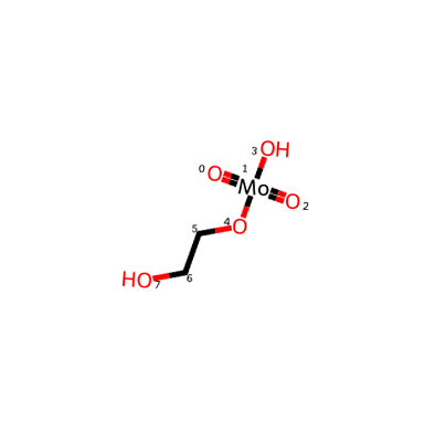 [O]=[Mo](=[O])([OH])[O]CCO